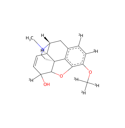 [2H]c1c([2H])c(OC([2H])([2H])[2H])c2c3c1C[C@@H]1[C@@H]4C=CC([2H])(O)C(O2)[C@]34CCN1C